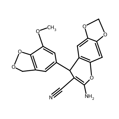 COc1cc(C2C(C#N)=C(N)Oc3cc4c(cc32)OCO4)cc2c1OOC2